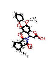 COc1ccc(C(CC(=O)O)N2C(=O)c3cccc(C)c3C2=O)cc1OC1CCCC1